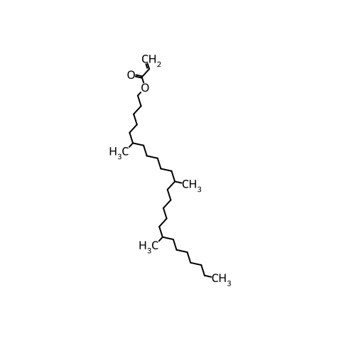 C=CC(=O)OCCCCCC(C)CCCCCC(C)CCCCCC(C)CCCCCCC